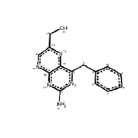 Nc1nc(Cc2ccccc2)c2nc(CO)cnc2n1